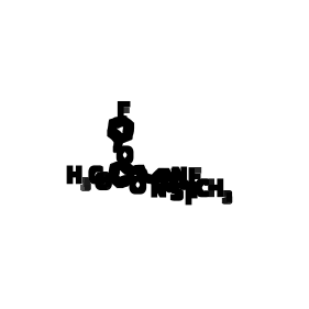 COc1cc(OCc2ccc(F)cc2)c2cc(-c3cn4nc(C(C)(F)F)sc4n3)oc2c1